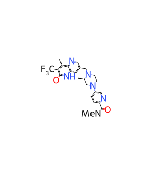 CNC(=O)c1ccc(N2CCN(Cc3cnc4c(C)c(C(F)(F)F)c(=O)[nH]c4c3)[C@H](C)C2)cn1